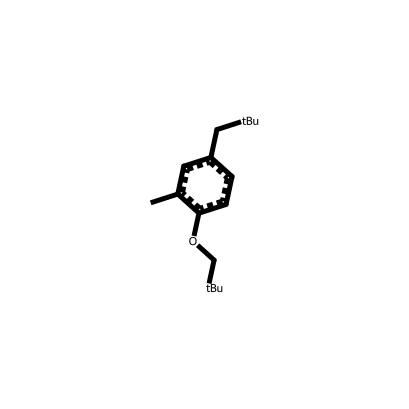 Cc1cc(CC(C)(C)C)ccc1OCC(C)(C)C